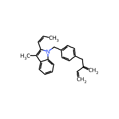 C=CC(=C)Cc1ccc(Cn2c(/C=C\C)c(C)c3ccccc32)cc1